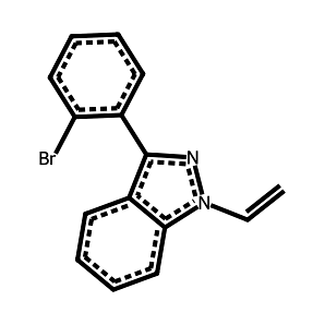 C=Cn1nc(-c2ccccc2Br)c2ccccc21